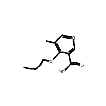 CCCOc1c(C)cncc1C(=O)O